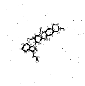 COc1cc2c(cc1Nc1ncc(Cl)c(-n3nc(CC=O)c4ccccc43)n1)CN(C)CC2